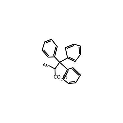 CCOC(=O)C(C(C)=O)C(c1ccccc1)(c1ccccc1)c1ccccc1